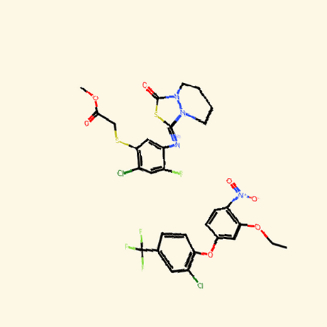 CCOc1cc(Oc2ccc(C(F)(F)F)cc2Cl)ccc1[N+](=O)[O-].COC(=O)CSc1cc(/N=c2\sc(=O)n3n2CCCC3)c(F)cc1Cl